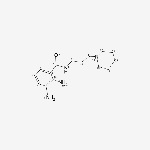 Nc1cccc(C(=O)NCCCN2CCCCC2)c1N